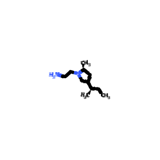 CC[C@H](C)C1C[C@@H](C)N(CCN)C1